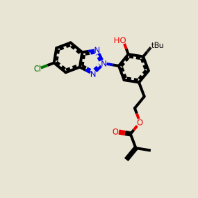 C=C(C)C(=O)OCCc1cc(-n2nc3ccc(Cl)cc3n2)c(O)c(C(C)(C)C)c1